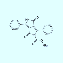 CC(C)(C)OC(=O)N1C(=O)C2=C(c3ccccc3)NC(=O)C2=C1c1ccccc1